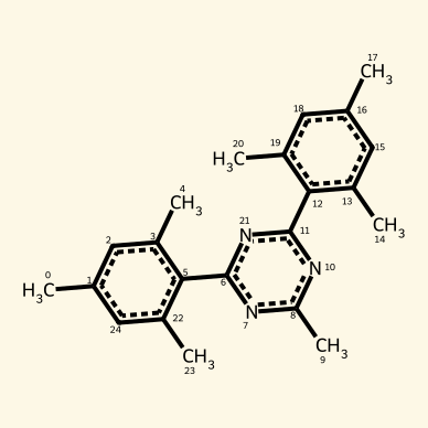 Cc1cc(C)c(-c2nc(C)nc(-c3c(C)cc(C)cc3C)n2)c(C)c1